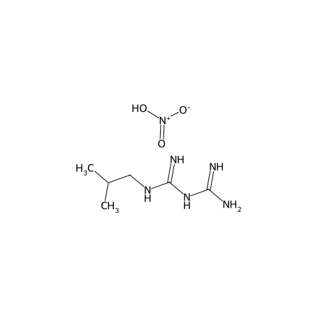 CC(C)CNC(=N)NC(=N)N.O=[N+]([O-])O